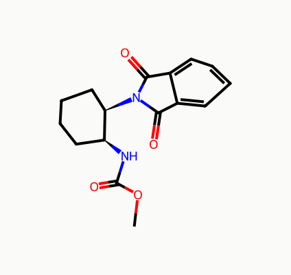 COC(=O)N[C@H]1CCCC[C@H]1N1C(=O)c2ccccc2C1=O